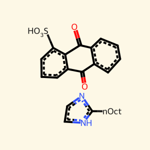 CCCCCCCCc1ncc[nH]1.O=C1c2ccccc2C(=O)c2c1cccc2S(=O)(=O)O